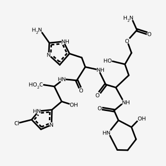 NC(=O)OCC(O)CC(NC(=O)C1NCCCC1O)C(=O)NC(Cc1cnc(N)[nH]1)C(=O)NC(C(=O)O)C(O)c1ncc(Cl)[nH]1